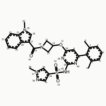 Cc1cccc(C)c1-c1cc(OC2CN(C(=O)c3cn(C)c4ccccc34)C2)nc(NS(=O)(=O)c2cnn(C)c2)n1